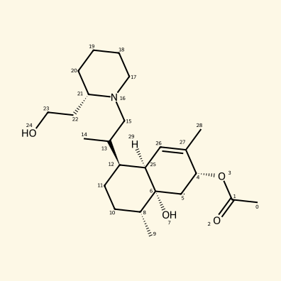 CC(=O)O[C@@H]1[CH][C@@]2(O)[C@H](C)CC[C@@H](C(C)CN3CCCC[C@H]3CCO)[C@H]2C=C1C